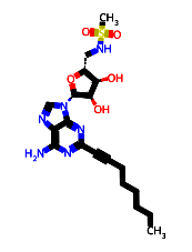 CCCCCCC#Cc1nc(N)c2ncn([C@@H]3O[C@H](CNS(C)(=O)=O)[C@@H](O)[C@H]3O)c2n1